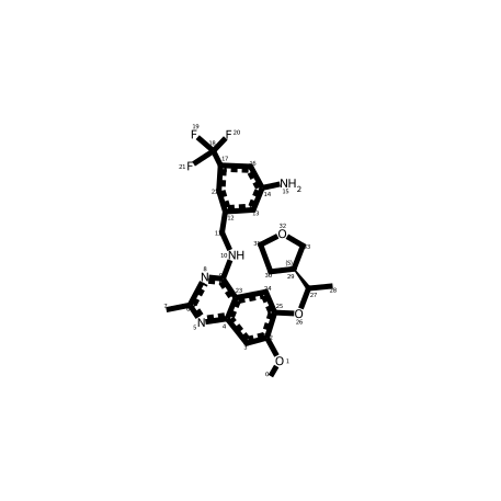 COc1cc2nc(C)nc(NCc3cc(N)cc(C(F)(F)F)c3)c2cc1OC(C)[C@H]1CCOC1